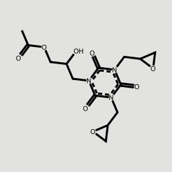 CC(=O)OCC(O)Cn1c(=O)n(CC2CO2)c(=O)n(CC2CO2)c1=O